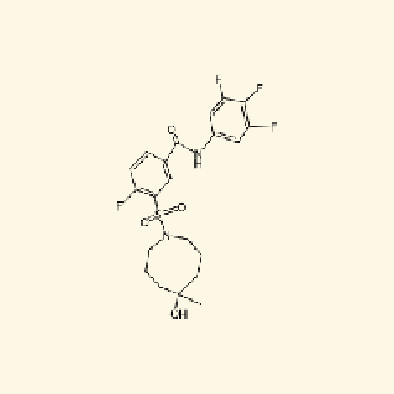 CC1(O)CCCN(S(=O)(=O)c2cc(C(=O)Nc3cc(F)c(F)c(F)c3)ccc2F)CCC1